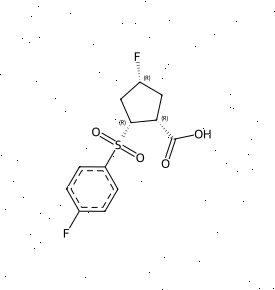 O=C(O)[C@H]1C[C@@H](F)C[C@H]1S(=O)(=O)c1ccc(F)cc1